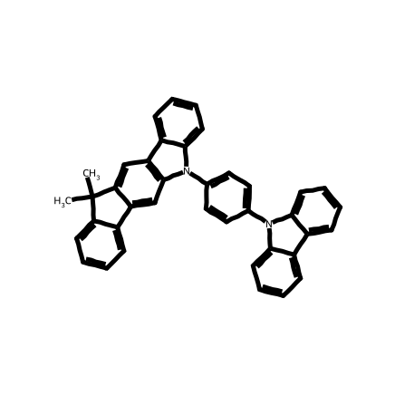 CC1(C)c2ccccc2-c2cc3c(cc21)c1ccccc1n3-c1ccc(-n2c3ccccc3c3ccccc32)cc1